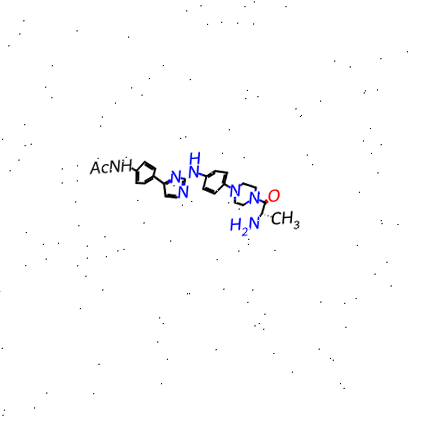 CC(=O)Nc1ccc(-c2ccnc(Nc3ccc(N4CCN(C(=O)[C@H](C)N)CC4)cc3)n2)cc1